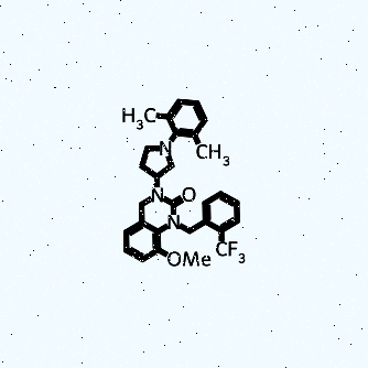 COc1cccc2c1N(Cc1ccccc1C(F)(F)F)C(=O)N(C1CCN(c3c(C)cccc3C)C1)C2